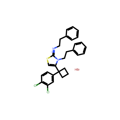 Br.Clc1ccc(C2(c3cs/c(=N/CCc4ccccc4)n3CCc3ccccc3)CCC2)cc1Cl